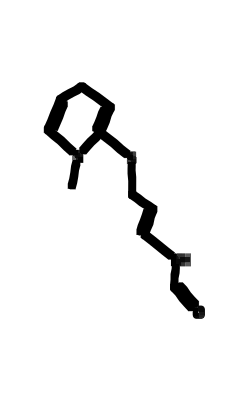 CN1C=CCC=C1SCC=CNC=O